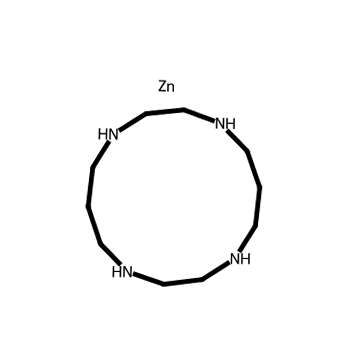 C1CNCCNCCCNCCNC1.[Zn]